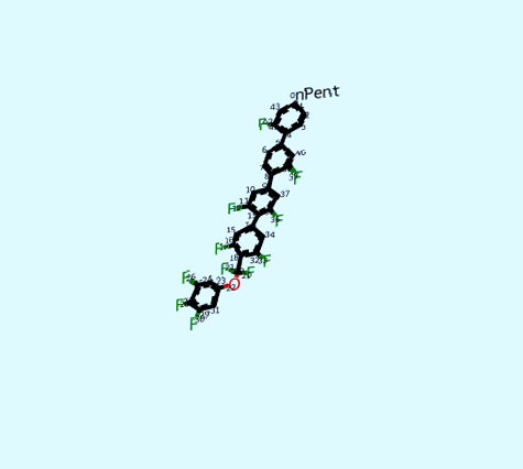 CCCCCc1ccc(-c2ccc(-c3cc(F)c(-c4cc(F)c(C(F)(F)Oc5cc(F)c(F)c(F)c5)c(F)c4)c(F)c3)c(F)c2)c(F)c1